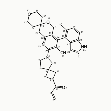 C=CC(=O)N1CC2(CCN(c3nc4c(c(-c5c(C)ccc6[nH]ncc56)c3C#N)COC3(CCOCC3)C4)C2)C1